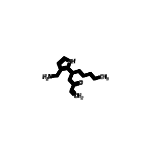 C=CC(=O)CC(CCCCC)c1[nH]ccc1CN